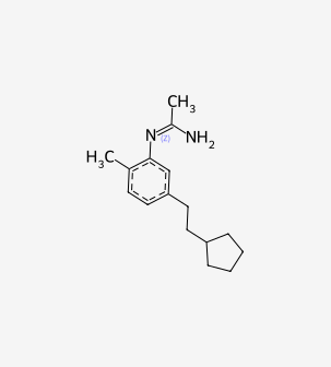 C/C(N)=N/c1cc(CCC2CCCC2)ccc1C